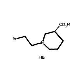 Br.O=C(O)[C@@H]1CCCN(CCBr)C1